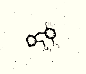 Cc1ccc(C(F)(F)F)cc1Cc1cc[c]cc1CC(F)(F)F